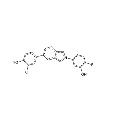 Oc1cc(-n2cc3ccc(-c4ccc(O)c(Cl)c4)cc3c2)ccc1F